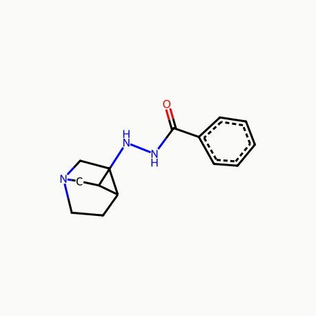 O=C(NNC1CN2CCC1CC2)c1ccccc1